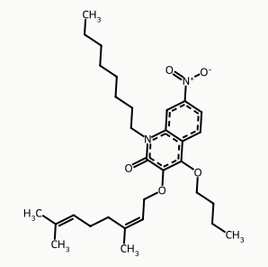 CCCCCCCCn1c(=O)c(OCC=C(C)CCC=C(C)C)c(OCCCC)c2ccc([N+](=O)[O-])cc21